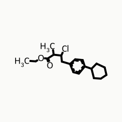 CCOC(=O)C(C)C(Cl)Cc1ccc(C2CCCCC2)cc1